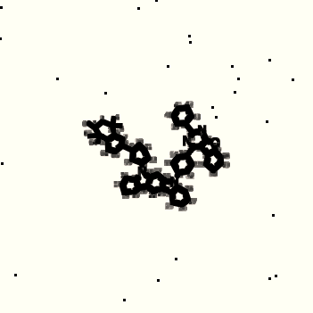 CC1CC(C)(C)c2cc(-c3cccc(-n4c5ccccc5c5cc6c7ccccc7n(-c7ccc(-c8nc(-c9ccccc9)nc9oc%10ccccc%10c89)cc7)c6cc54)c3)ccc2C1(C)C